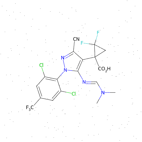 CN(C)C=Nc1c(C2(C(=O)O)CC2(F)F)c(C#N)nn1-c1c(Cl)cc(C(F)(F)F)cc1Cl